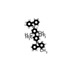 Cc1cc(-n2c3ccccc3c3ccccc32)cc(C)c1-c1c(C)cc(-n2c3ccccc3c3c(C)cccc32)cc1C